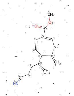 C=C1CC=C(C(=O)OC)C=CC1C(=C)CCC=N